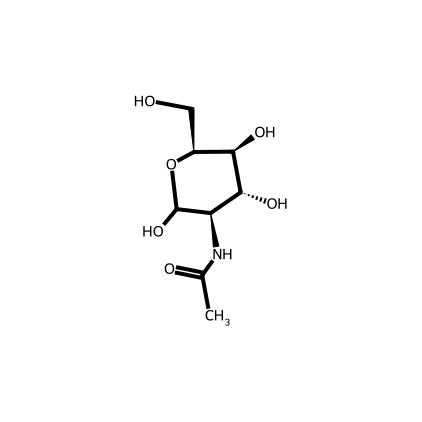 CC(=O)N[C@H]1C(O)O[C@@H](CO)[C@@H](O)[C@@H]1O